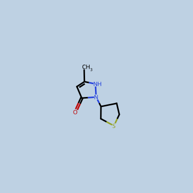 Cc1cc(=O)n(C2CCSC2)[nH]1